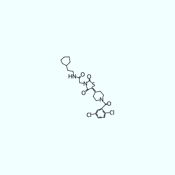 O=C(CN1C(=O)SC(=C2CCN(C(=O)c3cc(Cl)ccc3Cl)CC2)C1=O)NCCC1CCCCC1